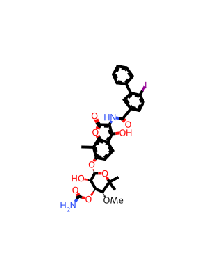 CO[C@@H]1[C@@H](OC(N)=O)[C@@H](O)[C@H](Oc2ccc3c(O)c(NC(=O)c4ccc(I)c(-c5ccccc5)c4)c(=O)oc3c2C)OC1(C)C